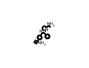 C=C(N)C1=Nn2c(nc(-c3ccc(C4(N)CCC4)cc3)c2-c2ccccc2)CC1